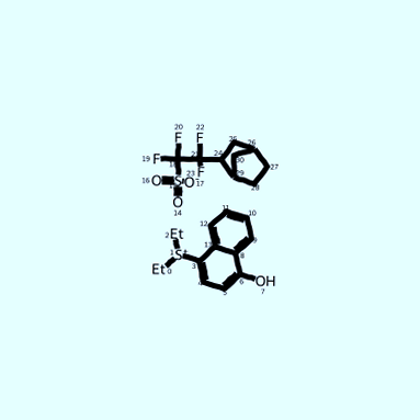 CC[S+](CC)c1ccc(O)c2ccccc12.O=S(=O)([O-])C(F)(F)C(F)(F)C1CC2CCC1C2